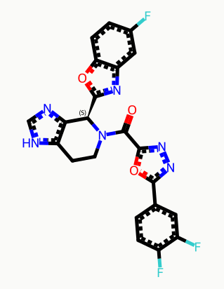 O=C(c1nnc(-c2ccc(F)c(F)c2)o1)N1CCc2[nH]cnc2[C@H]1c1nc2cc(F)ccc2o1